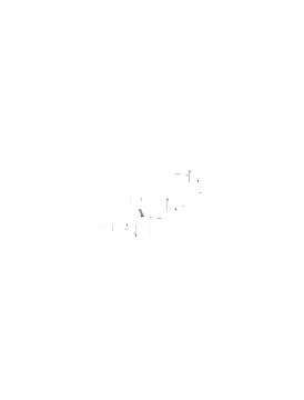 CCNC(=O)CN1CCN(C)CC1